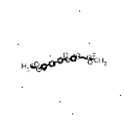 C=CC(=O)Oc1ccc(C2=CC=C(C3=CC=C(C(=O)Oc4ccc(OCCCOC(=O)C(=C)F)cc4)CC3)CC2)cc1